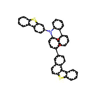 c1ccc(-c2ccccc2N(c2ccc(-c3ccc4c(ccc5sc6ccccc6c54)c3)cc2)c2ccc3c(c2)sc2ccccc23)cc1